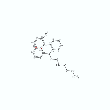 COCCNCCC(c1ccccc1)c1ccccc1-c1ccccc1Cl